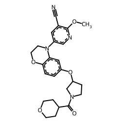 COc1ncc(N2CCOc3ccc(OC4CCN(C(=O)C5CCOCC5)C4)cc32)cc1C#N